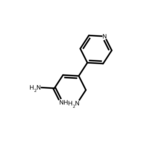 N=C(N)/C=C(\CN)c1ccncc1